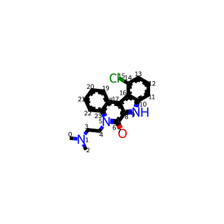 CN(C)CCn1c(=O)c2[nH]c3cccc(Cl)c3c2c2ccccc21